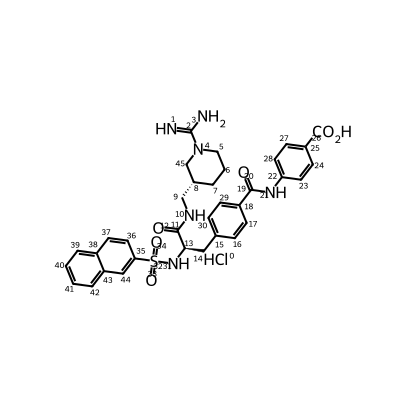 Cl.N=C(N)N1CCC[C@H](CNC(=O)[C@@H](Cc2ccc(C(=O)Nc3ccc(C(=O)O)cc3)cc2)NS(=O)(=O)c2ccc3ccccc3c2)C1